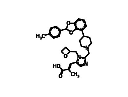 C/C(=C\c1cnc(CN2CCC(c3cccc4c3OC(c3ccc(C)cc3)O4)CC2)n1CC1CCO1)C(=O)O